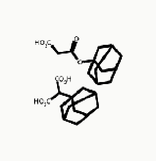 O=C(O)C(C(=O)O)C12CC3CC(CC(C3)C1)C2.O=C(O)CC(=O)OC12CC3CC(CC(C3)C1)C2